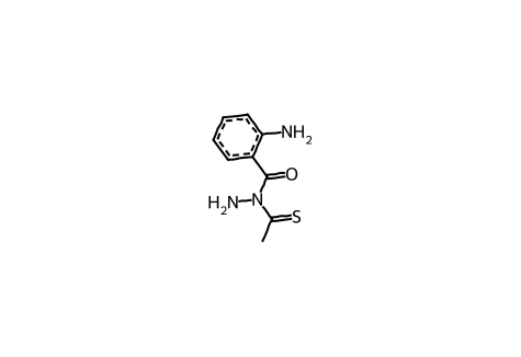 CC(=S)N(N)C(=O)c1ccccc1N